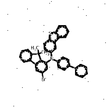 CC1(C)c2ccccc2-c2cc(Br)cc(N(c3ccc(-c4ccccc4)cc3)c3ccc4sc5ccccc5c4c3)c21